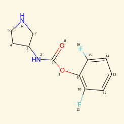 O=C(NC1CCNC1)Oc1c(F)cccc1F